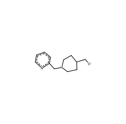 [O]CC1CCN(Cc2ccccn2)CC1